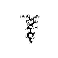 CCCN(C(=O)OC(C)(C)C)[C@@H](C)c1ncc(-c2ccc(Br)nc2)[nH]1